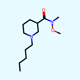 CCCCCN1CCCC(C(=O)N(C)OC)C1